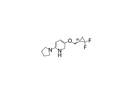 FC1(F)C[C@@H]1COC1=CC=C(N2CCCC2)NC1